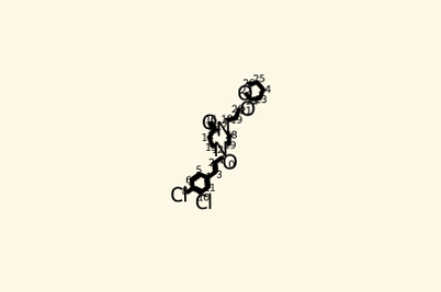 O=C(C=Cc1ccc(Cl)c(Cl)c1)N1CCC(=O)N(CCCOC2CCCCO2)CC1